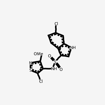 COc1nsc(Cl)c1NS(=O)(=O)c1c[nH]c2cc(Cl)ccc12